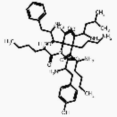 CCCCC(N)C(=O)N(C(=O)C(N)Cc1ccc(O)cc1)C(C(=O)O)(C(=O)C(N)Cc1ccccc1)C(CCCN)(C(=O)C(N)CCCC)C(=O)C(N)CC(C)C